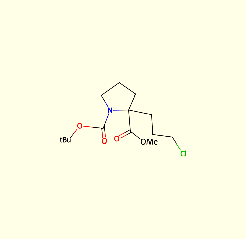 COC(=O)C1(CCCCl)CCCN1C(=O)OC(C)(C)C